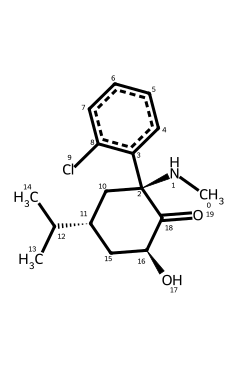 CN[C@]1(c2ccccc2Cl)C[C@@H](C(C)C)C[C@H](O)C1=O